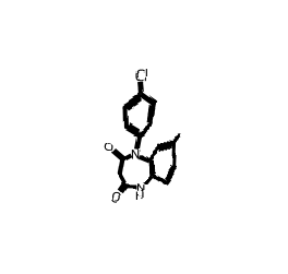 Cc1ccc2c(c1)N(c1ccc(Cl)cc1)C(=O)CC(=O)N2